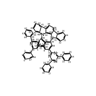 c1ccc(-c2cc(-c3cc(-c4nc(-c5ccccc5)nc(-c5ccccc5)n4)cc(-n4c5ccccc5c5ccc6c7ccccc7n(-c7ccccc7)c6c54)c3)cc(-c3ccccc3)n2)cc1